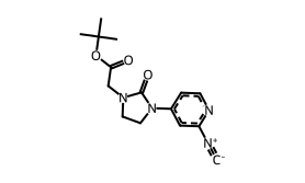 [C-]#[N+]c1cc(N2CCN(CC(=O)OC(C)(C)C)C2=O)ccn1